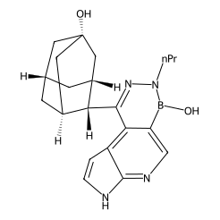 CCCN1N=C([C@H]2[C@@H]3C[C@@H]4C[C@H]2C[C@@](O)(C4)C3)c2c(cnc3[nH]ccc23)B1O